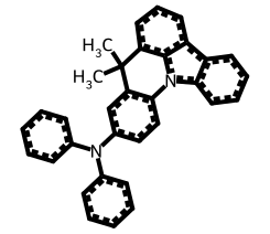 CC1(C)c2cc(N(c3ccccc3)c3ccccc3)ccc2-n2c3ccccc3c3cccc1c32